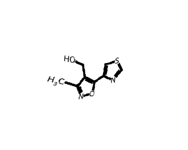 Cc1noc(-c2cscn2)c1CO